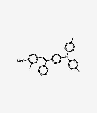 COc1ccc(/C=C(\c2ccccc2)c2ccc(N(c3ccc(C)cc3)c3ccc(C)cc3)cc2)cc1C